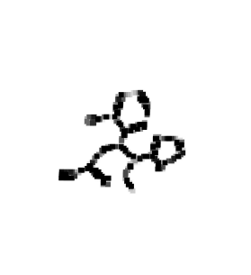 CCN(c1cccs1)[C@@H](CC(=O)O)c1ccccc1Cl